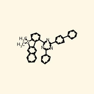 CS1(C)c2cc3ccccc3cc2-c2c(-c3nc(-c4ccccc4)nc(-c4ccc(-c5ccccc5)cc4)n3)cccc21